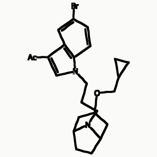 CC(=O)c1cn(CCCN2C3CCC2CC(OCC2CC2)C3)c2ccc(Br)cc12